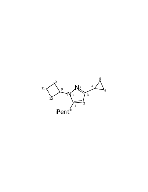 CCCC(C)c1cc(C2CC2)nn1C1CCC1